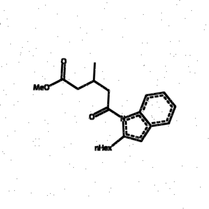 CCCCCCc1cc2ccccc2n1C(=O)CC(C)CC(=O)OC